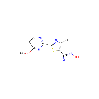 CCOc1ccnc(-c2nc(CC)c(C(N)=NO)s2)n1